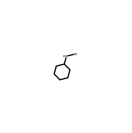 CC(C)N[C]1CCCCC1